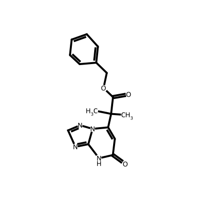 CC(C)(C(=O)OCc1ccccc1)c1cc(=O)[nH]c2ncnn12